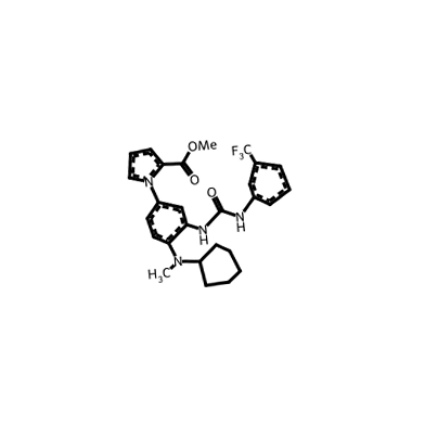 COC(=O)c1cccn1-c1ccc(N(C)C2CCCCC2)c(NC(=O)Nc2cccc(C(F)(F)F)c2)c1